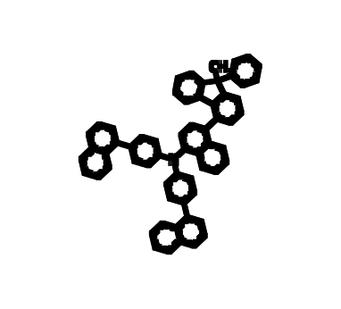 CC1(c2ccccc2)c2ccccc2-c2c(-c3ccc(N(c4ccc(-c5cccc6ccccc56)cc4)c4ccc(-c5cccc6ccccc56)cc4)c4ccccc34)cccc21